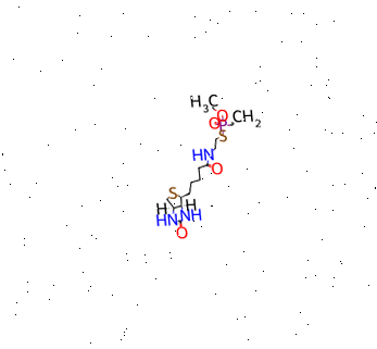 C=CP(=O)(OCC)SCCNC(=O)CCCC[C@@H]1SC[C@@H]2NC(=O)N[C@@H]21